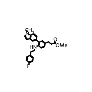 COC(=O)CCc1ccc(NCCc2ccc(F)cc2)c(-c2ccc3c(ccn3C)c2)c1